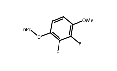 CCCOc1ccc(OC)c(F)c1F